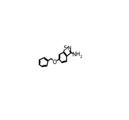 Nc1nsc2cc(OCc3ccccc3)ccc12